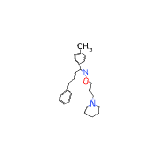 Cc1ccc(C(CCCc2ccccc2)=NOCCCN2CCCCC2)cc1